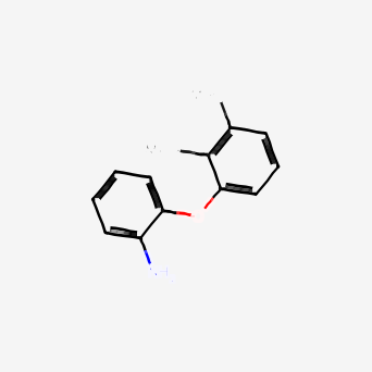 COc1cccc(Oc2ccccc2N)c1OC